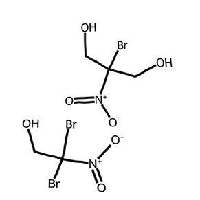 O=[N+]([O-])C(Br)(Br)CO.O=[N+]([O-])C(Br)(CO)CO